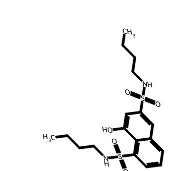 CCCCNS(=O)(=O)c1cc(O)c2c(S(=O)(=O)NCCCC)cccc2c1